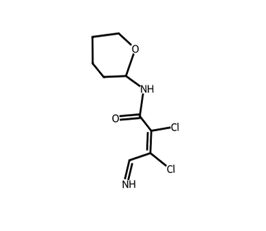 N=C/C(Cl)=C(/Cl)C(=O)NC1CCCCO1